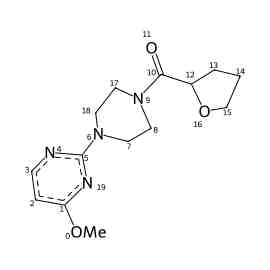 COc1ccnc(N2CCN(C(=O)C3CCCO3)CC2)n1